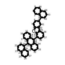 c1ccc2c(-c3ccc4oc5c(-c6c7ccccc7c(-c7cccc8ccccc78)c7ccccc67)cccc5c4c3)cccc2c1